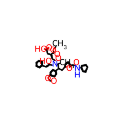 CCOC(=O)C(CC(=O)O)=C(O)C(=O)N(CC=Cc1ccccc1)C(C)C(Cc1ccc(C(=O)Nc2ccccc2)o1)c1ccc2c(c1)OCO2